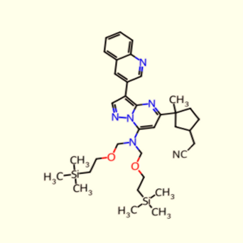 CC1(c2cc(N(COCC[Si](C)(C)C)COCC[Si](C)(C)C)n3ncc(-c4cnc5ccccc5c4)c3n2)CCC(CC#N)C1